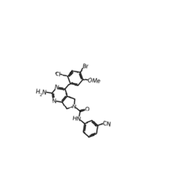 COc1cc(-c2nc(N)nc3c2CN(C(=O)Nc2cccc(C#N)c2)C3)c(Cl)cc1Br